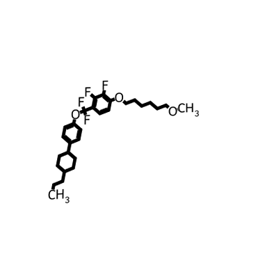 CCCC1CCC(c2ccc(OC(F)(F)c3ccc(OCCCCCCOC)c(F)c3F)cc2)CC1